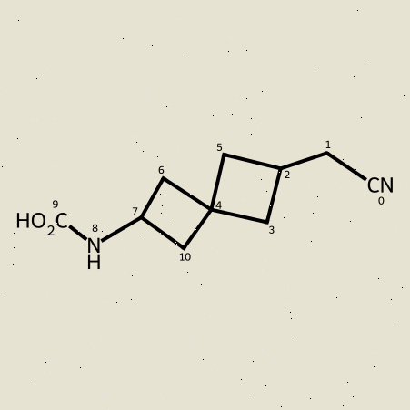 N#CCC1CC2(C1)CC(NC(=O)O)C2